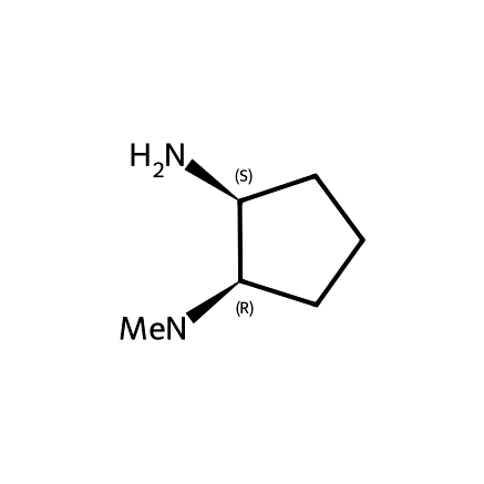 CN[C@@H]1CCC[C@@H]1N